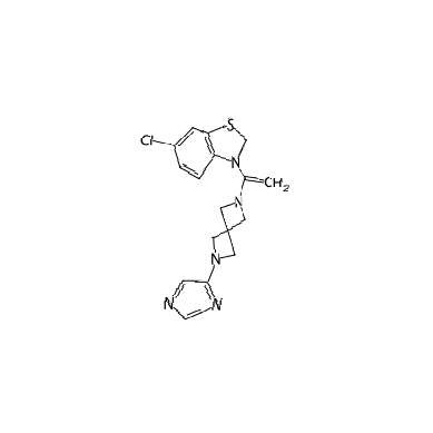 C=C(N1CC2(C1)CN(c1cnccn1)C2)N1CSc2cc(Cl)ccc21